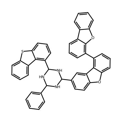 c1ccc(C2NC(c3ccc4oc5cccc(-c6cccc7c6oc6ccccc67)c5c4c3)NC(c3cccc4sc5ccccc5c34)N2)cc1